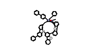 C/C1=C2\CC(Cc3ccc4c5cc(-c6ccccc6)ccc5n(c4c3)-c3cc(c4oc5c(c4c3)C=CCC5)-c3cccc4c3oc3c2cccc34)C(c2ccc(-c3ccccc3)cc2)/N=C(/c2ccccc2)C1C